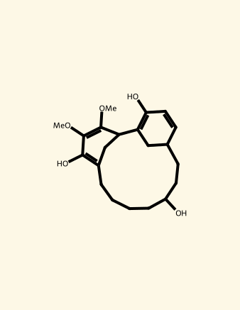 COC1=C(OC)C2CC(=C1O)CCCCC(O)CCC1C=CC(O)=C2C1